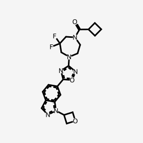 O=C(C1CCC1)N1CCN(c2noc(-c3ccc4cnn(C5COC5)c4c3)n2)CC(F)(F)C1